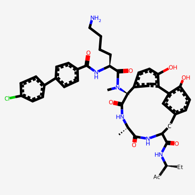 CC[C@H](NC(=O)C1Cc2ccc(O)c(c2)-c2cc(ccc2O)[C@H](N(C)C(=O)[C@H](CCCCN)NC(=O)c2ccc(-c3ccc(Cl)cc3)cc2)C(=O)N[C@@H](C)C(=O)N1)C(C)=O